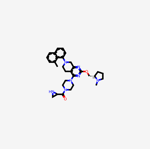 Cc1cccc2cccc(N3CCc4c(nc(OC[C@@H]5CCCN5C)nc4N4CCN(C(=O)C5CN5)CC4)C3)c12